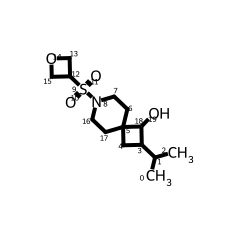 CC(C)C1CC2(CCN(S(=O)(=O)C3COC3)CC2)C1O